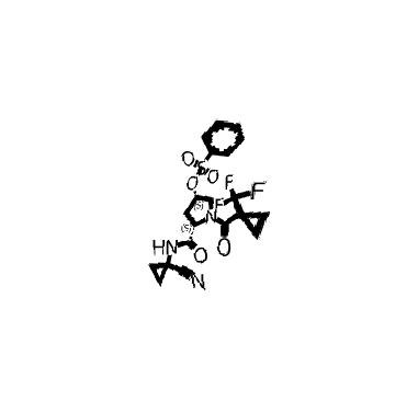 N#CC1(NC(=O)[C@@H]2C[C@H](OS(=O)(=O)c3ccccc3)CN2C(=O)C2(C(F)(F)F)CC2)CC1